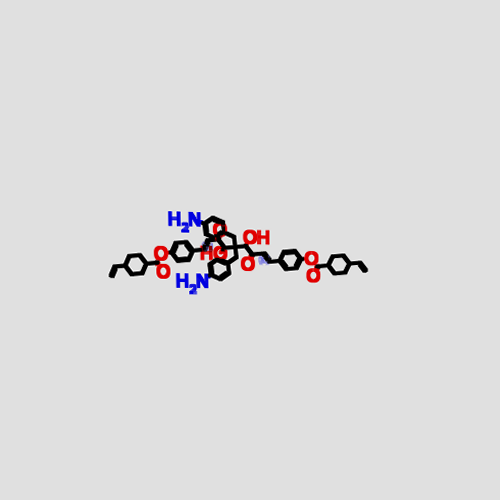 C=CC1CCC(C(=O)Oc2ccc(/C=C/C(=O)C(O)C(Cc3ccc(N)cc3)(Cc3ccc(N)cc3)C(O)C(=O)/C=C/c3ccc(OC(=O)C4CCC(C=C)CC4)cc3)cc2)CC1